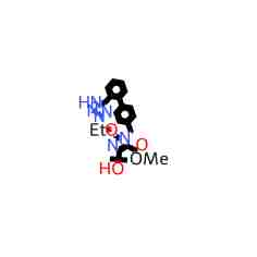 CCOc1nc(C(C)(C)O)c(C(=O)OC)n1Cc1ccc(-c2ccccc2-c2nnn[nH]2)cc1